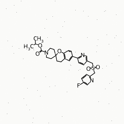 CC(C)OC(=O)N1CCC2(CCc3cc(-c4ccc(CS(=O)(=O)Cc5ccc(F)cn5)cn4)ccc3O2)CC1